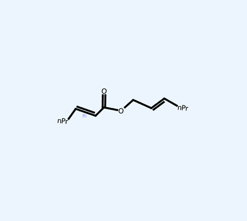 CCCC=CCOC(=O)/C=C/CCC